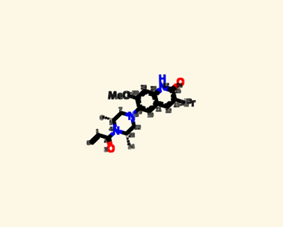 C=CC(=O)N1[C@H](C)CN(c2cc3cc(C(C)C)c(=O)[nH]c3cc2OC)C[C@@H]1C